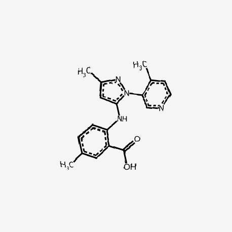 Cc1ccc(Nc2cc(C)nn2-c2cnccc2C)c(C(=O)O)c1